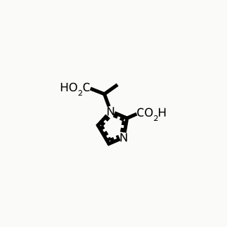 CC(C(=O)O)n1ccnc1C(=O)O